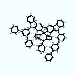 c1ccc(-c2ccc(-c3cccc(-n4c5ccccc5c5cc6c(cc54)C4(c5cc7c(cc5-6)c5ccccc5n7-c5cc(-c6ccccc6)cc(-c6ccccc6)c5)c5ccccc5N(c5ccccc5)c5ccccc54)c3)cc2)cc1